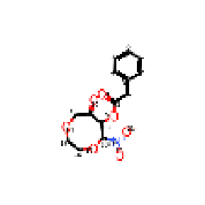 O=C(Cc1ccccc1)OC1C(=O)COCCOC1[N+](=O)[O-]